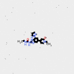 CCNC(=O)Nc1nc2cc(-c3ccn(CC)c(=O)c3)cc(N3CCC=N3)c2[nH]1